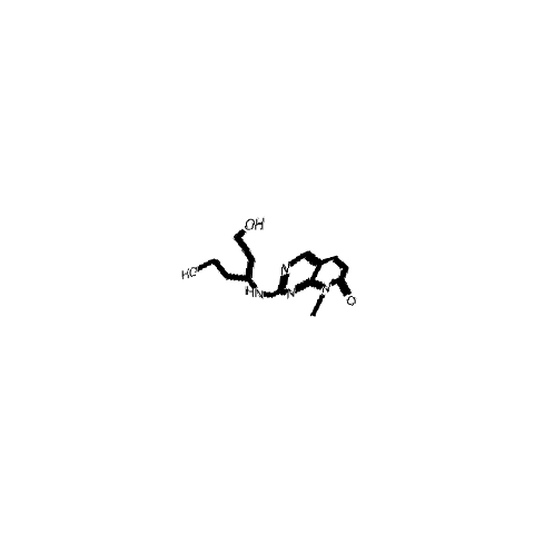 Cn1c(=O)ccc2cnc(NC(CCO)CCO)nc21